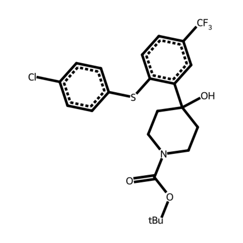 CC(C)(C)OC(=O)N1CCC(O)(c2cc(C(F)(F)F)ccc2Sc2ccc(Cl)cc2)CC1